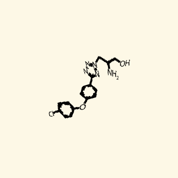 NC(CO)Cn1nnc(-c2ccc(Oc3ccc(Cl)cc3)cc2)n1